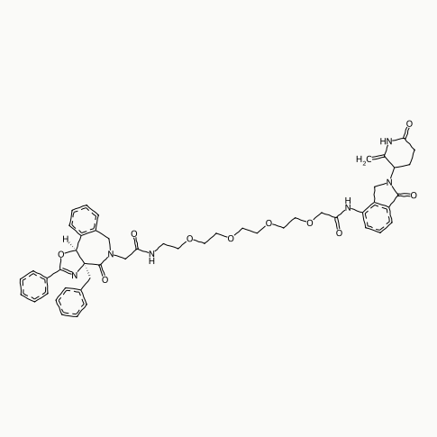 C=C1NC(=O)CCC1N1Cc2c(NC(=O)COCCOCCOCCOCCNC(=O)CN3Cc4ccccc4[C@@H]4OC(c5ccccc5)=N[C@]4(Cc4ccccc4)C3=O)cccc2C1=O